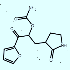 NC(=O)OC(CC1CCNC1=O)C(=O)c1ccco1